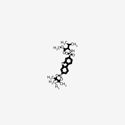 COC(=O)C(NS(=O)(=O)c1ccc2c(c1)sc1cc(B3OC(C)(C)C(C)(C)O3)ccc12)C(C)C